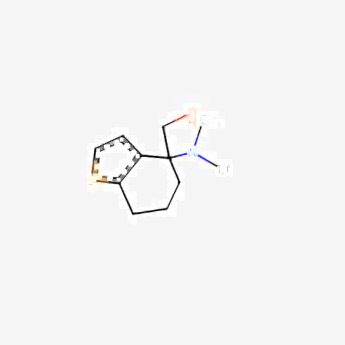 CCN(C)C1(CO)CCCc2sccc21